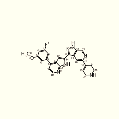 COc1cc(F)cc(-c2ccnc3[nH]c(-c4n[nH]c5cnc(C6=CCNCC6)cc45)cc23)c1